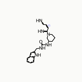 N=C/C=C\C(=N)N1CCCC(NC(=O)NCc2cc3ccccc3[nH]2)C1